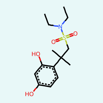 CCN(CC)S(=O)(=O)CC(C)(C)c1ccc(O)cc1O